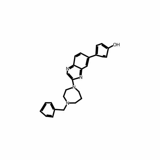 Oc1ccc(-c2ccc3ncc(N4CCCN(Cc5ccccc5)CC4)nc3c2)cc1